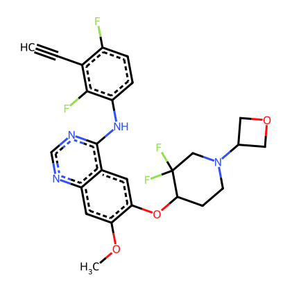 C#Cc1c(F)ccc(Nc2ncnc3cc(OC)c(OC4CCN(C5COC5)CC4(F)F)cc23)c1F